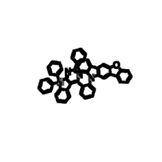 c1ccc(-c2nc(-c3ccccc3-n3c4ccccc4c4cc5oc6ccccc6c5cc43)c3c(n2)[Si](c2ccccc2)(c2ccccc2)c2ccccc2-3)cc1